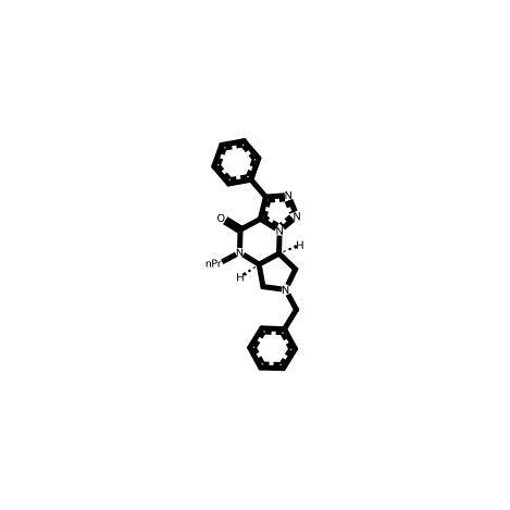 CCCN1C(=O)c2c(-c3ccccc3)nnn2[C@H]2CN(Cc3ccccc3)C[C@H]21